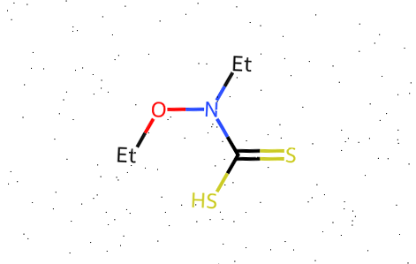 CCON(CC)C(=S)S